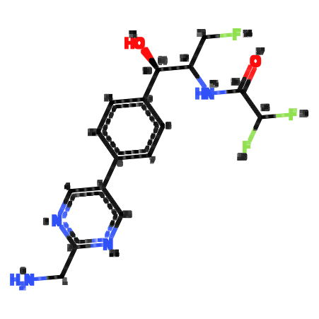 NCc1ncc(-c2ccc([C@@H](O)C(CF)NC(=O)C(F)F)cc2)cn1